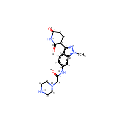 Cn1nc(C2CCC(=O)NC2=O)c2ccc(NC(=O)CN3CCNCC3)cc21